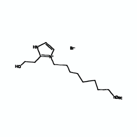 CCCCCCCCCCCCCCCCCC[n+]1cc[nH]c1CCO.[Br-]